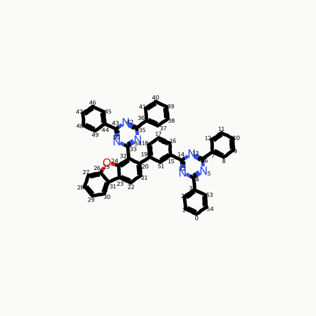 c1ccc(-c2nc(-c3ccccc3)nc(-c3cccc(-c4ccc5c(oc6ccccc65)c4-c4nc(-c5ccccc5)nc(-c5ccccc5)n4)c3)n2)cc1